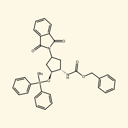 CC(C)(C)[Si](O[C@H]1CC(N2C(=O)c3ccccc3C2=O)C[C@@H]1NC(=O)OCc1ccccc1)(c1ccccc1)c1ccccc1